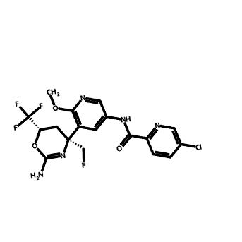 COc1ncc(NC(=O)c2ccc(Cl)cn2)cc1[C@]1(CF)C[C@@H](C(F)(F)F)OC(N)=N1